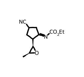 CCOC(=O)/N=C1\CC(C#N)CC1[C@H]1O[C@H]1C